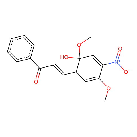 COC1=CC(C=CC(=O)c2ccccc2)C(O)(OC)C=C1[N+](=O)[O-]